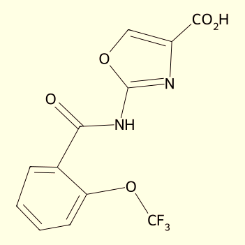 O=C(O)c1coc(NC(=O)c2ccccc2OC(F)(F)F)n1